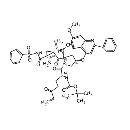 C=CC(=O)CCC(NC(=O)OC(C)(C)C)C(=O)N1C[C@H](Oc2cc(-c3ccccc3)nc3cc(OC)ccc23)C[C@@]1(NC)C(=O)[C@]1(C=C)C[C@]1(N)C(=O)NS(=O)(=O)c1ccccc1